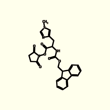 Cn1cnc(CC(NC(=O)OCC2c3ccccc3-c3ccccc32)C(=O)ON2C(=O)CCC2=O)c1